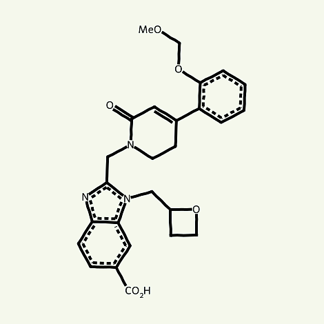 COCOc1ccccc1C1=CC(=O)N(Cc2nc3ccc(C(=O)O)cc3n2CC2CCO2)CC1